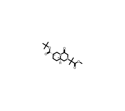 COC(=O)C(C)(C)N1CC(=O)N2C[C@@H](C(=O)OC(C)(C)C)CC[C@@H]2C1